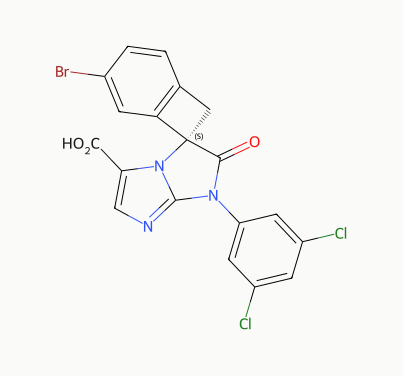 O=C(O)c1cnc2n1[C@]1(Cc3ccc(Br)cc31)C(=O)N2c1cc(Cl)cc(Cl)c1